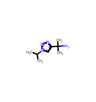 CC(C)n1cc(C(C)(C)N)nn1